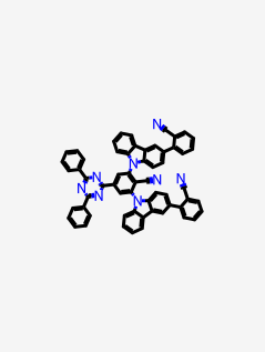 N#Cc1ccccc1-c1ccc2c(c1)c1ccccc1n2-c1cc(-c2nc(-c3ccccc3)nc(-c3ccccc3)n2)cc(-n2c3ccccc3c3cc(-c4ccccc4C#N)ccc32)c1C#N